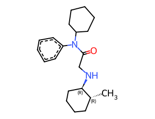 C[C@@H]1CCCC[C@H]1NCC(=O)N(c1ccccc1)C1CCCCC1